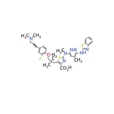 Cc1cc(N(C)c2nc(C(=O)O)c(CC(C)(C)COc3ccc(C#CCN(C)C)cc3F)s2)nnc1Nc1nc2ccccc2s1